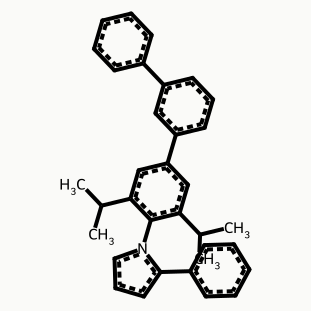 CC(C)c1cc(-c2cccc(-c3ccccc3)c2)cc(C(C)C)c1-n1cccc1-c1ccccc1